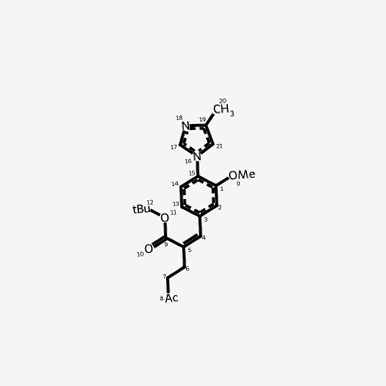 COc1cc(C=C(CCC(C)=O)C(=O)OC(C)(C)C)ccc1-n1cnc(C)c1